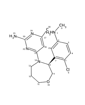 CNc1ccc(Cl)c([C@H]2COCCCN2c2cc(C)nc(N)n2)c1